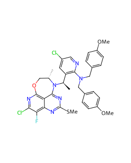 COc1ccc(CN(Cc2ccc(OC)cc2)c2ncc(Cl)cc2[C@@H](C)N2c3nc(SC)nc4c(F)c(Cl)nc(c34)OC[C@@H]2C)cc1